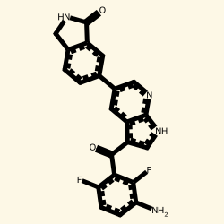 Nc1ccc(F)c(C(=O)c2c[nH]c3ncc(-c4ccc5c(c4)C(=O)NC5)cc23)c1F